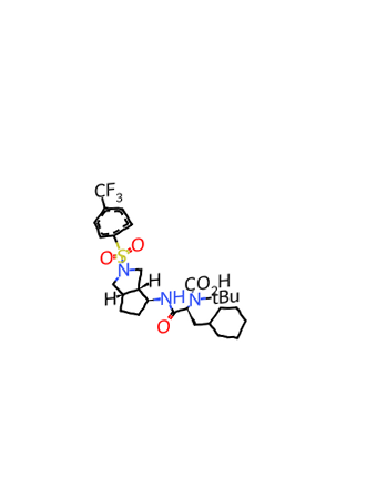 CC(C)(C)N(C(=O)O)[C@@H](CC1CCCCC1)C(=O)N[C@H]1CC[C@@H]2CN(S(=O)(=O)c3ccc(C(F)(F)F)cc3)C[C@@H]21